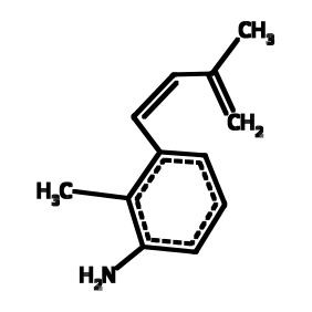 C=C(C)/C=C\c1cccc(N)c1C